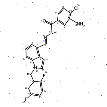 Nc1cc(C(=O)N/N=C/c2cccc3c2ccn3CC2CC(F)=CC=C2F)ccc1O